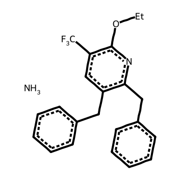 CCOc1nc(Cc2ccccc2)c(Cc2ccccc2)cc1C(F)(F)F.N